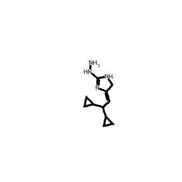 NNC1=NC(=CC(C2CC2)C2CC2)CN1